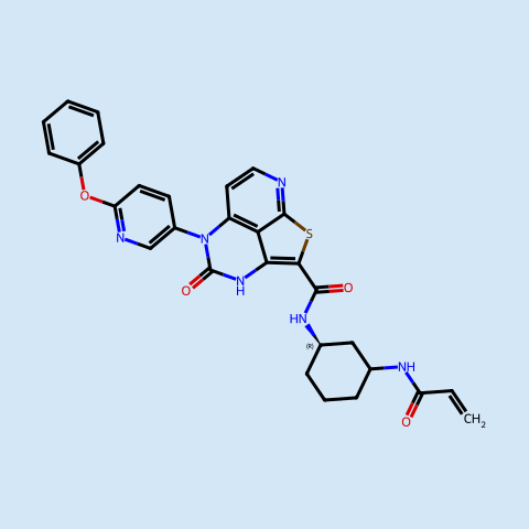 C=CC(=O)NC1CCC[C@@H](NC(=O)c2sc3nccc4c3c2NC(=O)N4c2ccc(Oc3ccccc3)nc2)C1